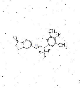 Cc1cc(C(/C=C/c2ccc3c(c2)CCC3=O)C(F)(F)F)cc(C)c1F